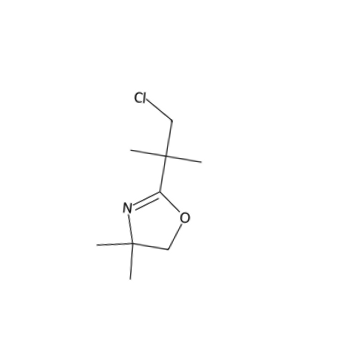 CC1(C)COC(C(C)(C)CCl)=N1